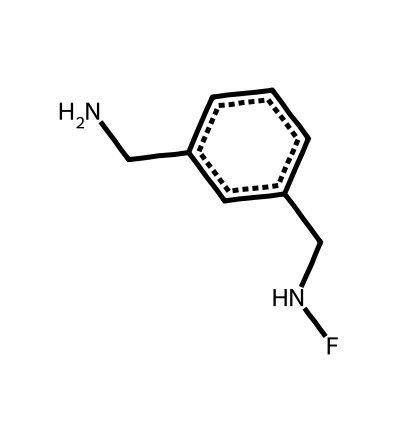 NCc1cccc(CNF)c1